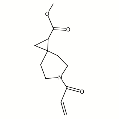 C=CC(=O)N1CCC2(CC1)CC2C(=O)OC